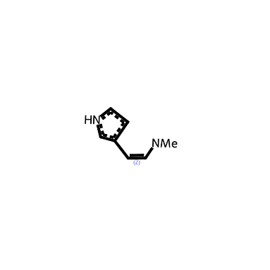 CN/C=C\c1cc[nH]c1